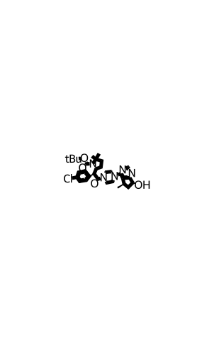 C[C@@H]1C[C@@H](O)c2ncnc(N3CCN(C(=O)[C@@H](c4ccc(Cl)cc4)C4CCC(C)(C)N4C(=O)OC(C)(C)C)CC3)c21